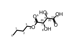 CCCCOC(=O)[C@H](O)[C@@H](O)C(=O)O